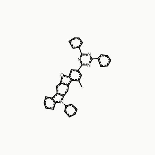 Cc1cc(-c2nc(-c3ccccc3)nc(-c3ccccc3)n2)cc2oc3cc4c5ccccc5n(-c5ccccc5)c4cc3c12